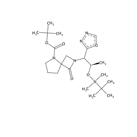 C[C@@H](O[Si](C)(C)C(C)(C)C)C(c1nnco1)N1CC2(CCCN2C(=O)OC(C)(C)C)C1=O